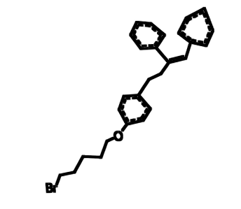 BrCCCCCOc1ccc(CCC(=Cc2ccccc2)c2ccccc2)cc1